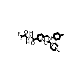 Cc1ccc(N(Cc2ccc(C(=O)NNC(=O)C(F)F)cn2)C(=O)N2CCN(C)CC2)cc1